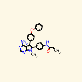 C=CC(=O)Nc1ccc(-c2c(-c3ccc(Oc4ccccc4)cc3)c3c(N)ncnc3n2C)cc1